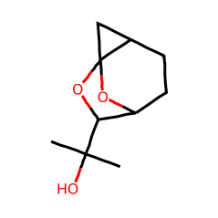 CC(C)(O)C1OC23CC2CCC1O3